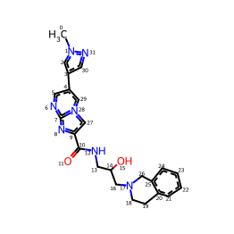 Cn1cc(-c2cnc3nc(C(=O)NCC(O)CN4CCc5ccccc5C4)cn3c2)cn1